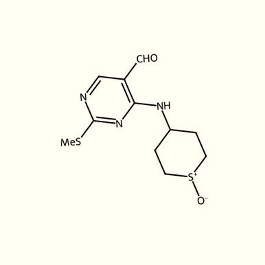 CSc1ncc(C=O)c(NC2CC[S+]([O-])CC2)n1